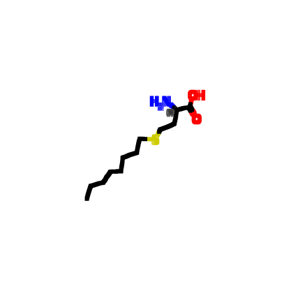 CCCCCCCCSCC[C@@H](N)C(=O)O